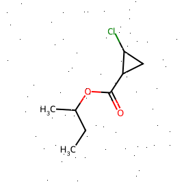 CCC(C)OC(=O)C1CC1Cl